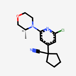 C[C@@H]1COCCN1c1cc(C2(C#N)CCCC2)cc(Cl)n1